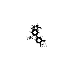 CC(C)c1cc(-c2ccc(O)c(F)c2)c(O)cc1O